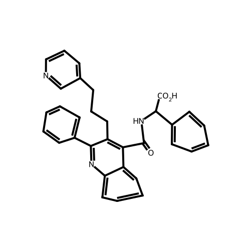 O=C(NC(C(=O)O)c1ccccc1)c1c(CCCc2cccnc2)c(-c2ccccc2)nc2ccccc12